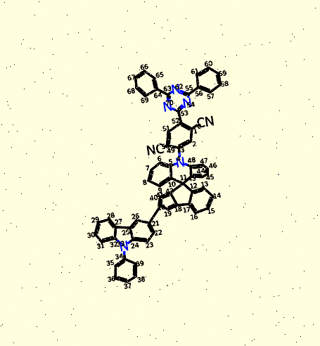 N#Cc1cc(N2c3ccccc3C3(c4ccccc4-c4cc(-c5ccc6c(c5)c5ccccc5n6-c5ccccc5)ccc43)c3ccccc32)c(C#N)cc1-c1nc(-c2ccccc2)nc(-c2ccccc2)n1